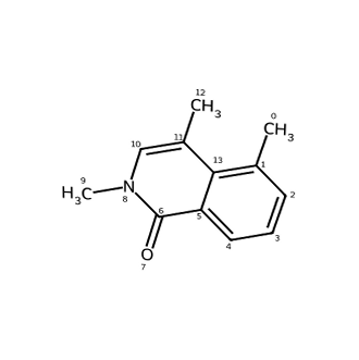 Cc1cccc2c(=O)n(C)cc(C)c12